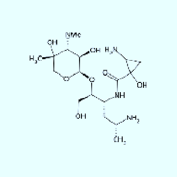 CN[C@@H]1[C@@H](O)[C@@H](O[C@H](CO)[C@@H](C[C@@H](C)N)NC(=O)C2(O)CC2N)OC[C@]1(C)O